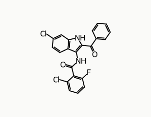 O=C(c1ccccc1)c1[nH]c2cc(Cl)ccc2c1NC(=O)c1c(F)cccc1Cl